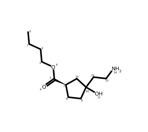 CCCCOC(=O)[C@@H]1CCC(O)(CCN)C1